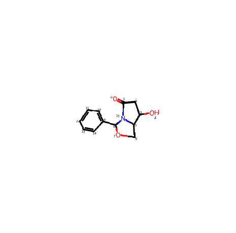 O=C1CC(O)C2COC(c3ccccc3)N12